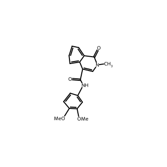 COc1ccc(NC(=O)c2cn(C)c(=O)c3ccccc23)cc1OC